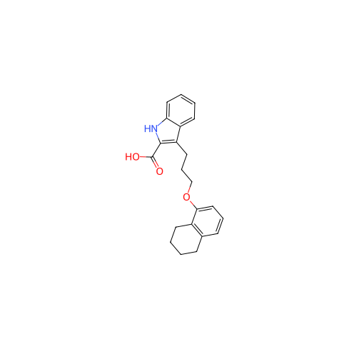 O=C(O)c1[nH]c2ccccc2c1CCCOc1cccc2c1CCCC2